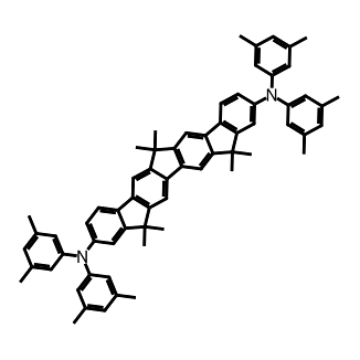 Cc1cc(C)cc(N(c2cc(C)cc(C)c2)c2ccc3c(c2)C(C)(C)c2cc4c(cc2-3)C(C)(C)c2cc3c(cc2-4)C(C)(C)c2cc(N(c4cc(C)cc(C)c4)c4cc(C)cc(C)c4)ccc2-3)c1